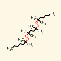 CCCCCC(C)(C)OOC(C)(C)CCC(C)(C)OOC(C)(C)CCCCC